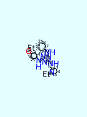 CCOc1ccc(Nc2nc(NCC3CCCN3CC)nc(NC3CCCCCC3)n2)cc1